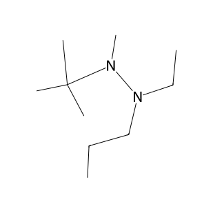 CCCN(CC)N(C)C(C)(C)C